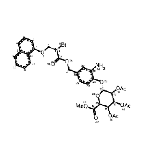 CCN(COc1cccc2ccccc12)C(=O)OCc1ccc(O[C@H]2OC(C(=O)OC)C(OC(C)=O)[C@H](OC(C)=O)C2OC(C)=O)c(N)c1